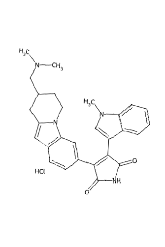 CN(C)CC1CCn2c(cc3ccc(C4=C(c5cn(C)c6ccccc56)C(=O)NC4=O)cc32)C1.Cl